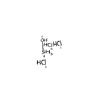 Cl.Cl.Cl.O[SiH3]